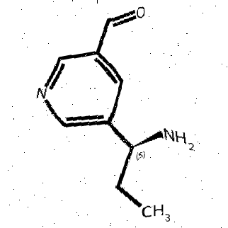 CC[C@H](N)c1cncc(C=O)c1